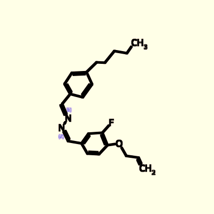 C=CCOc1ccc(/C=N\N=C\c2ccc(CCCCC)cc2)cc1F